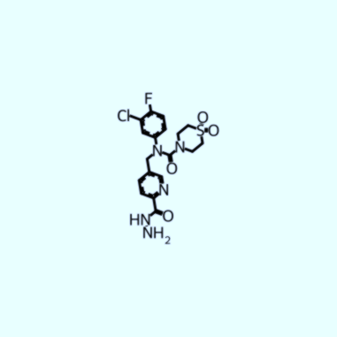 NNC(=O)c1ccc(CN(C(=O)N2CCS(=O)(=O)CC2)c2ccc(F)c(Cl)c2)cn1